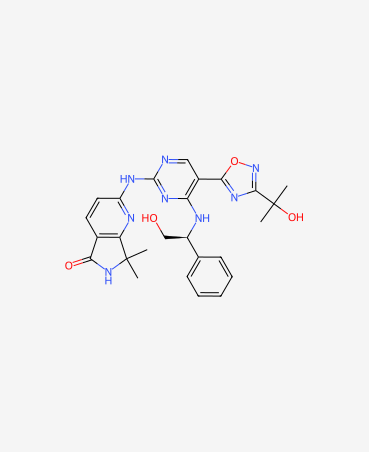 CC(C)(O)c1noc(-c2cnc(Nc3ccc4c(n3)C(C)(C)NC4=O)nc2N[C@H](CO)c2ccccc2)n1